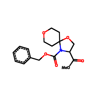 COC(=O)C1COC2(CCOCC2)N1C(=O)OCc1ccccc1